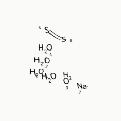 O.O.O.O.O.S=S.[Na]